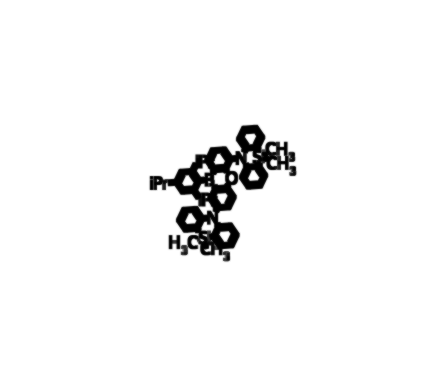 CC(C)c1cc(C(C)C)c(B2c3cc(N4c5ccccc5[Si](C)(C)c5ccccc54)ccc3Oc3c2cccc3N2c3ccccc3[Si](C)(C)c3ccccc32)c(C(C)C)c1